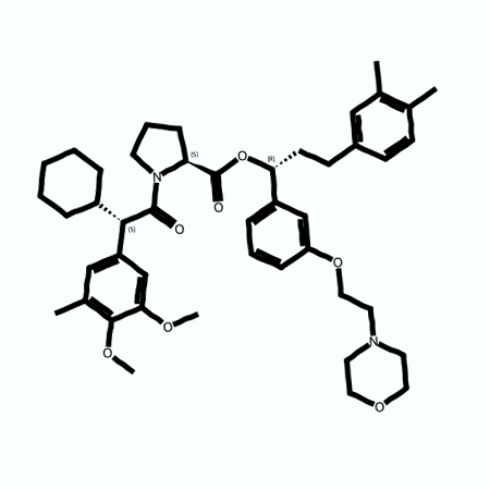 COc1cc([C@@H](C(=O)N2CCC[C@H]2C(=O)O[C@H](CCc2ccc(C)c(C)c2)c2cccc(OCCN3CCOCC3)c2)C2CCCCC2)cc(C)c1OC